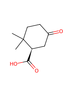 CC1(C)CCC(=O)C[C@H]1C(=O)O